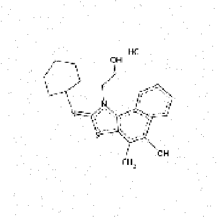 Cc1c(O)c2ccccc2c2c1sc(=NC1CCCCC1)n2CCO.Cl